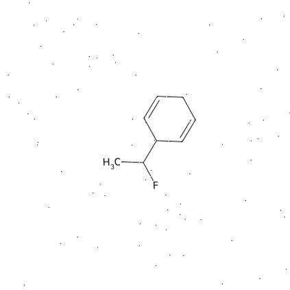 CC(F)C1C=CCC=C1